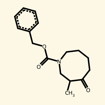 CC1CN(C(=O)OCc2ccccc2)CCCCC1=O